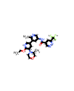 CCOc1ncc(-c2cc(NC(=O)c3cnnc(C(F)(F)F)c3)cnc2C)cc1N1CCOC[C@@H]1C